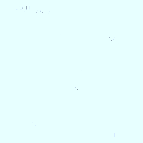 COCOc1cc([N+](=O)[O-])cc2c1c(Cc1ccc(C(=O)O)cc1)c(C1CCOCC1)n2-c1ccc(F)c(F)c1